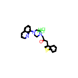 Cl.Cl.O=C(Cc1csc2ccccc12)CN1CCN(c2cccc3cccnc23)CC1